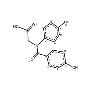 O=C(O)CN(C(=O)c1ccc(O)cc1)c1ccc(O)cc1